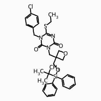 CCSc1nc(=O)n(CC2(CO[Si](c3ccccc3)(c3ccccc3)C(C)(C)C)COC2)c(=O)n1Cc1ccc(Cl)cc1